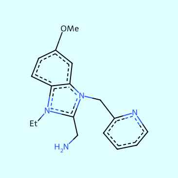 CC[n+]1c(CN)n(Cc2ccccn2)c2cc(OC)ccc21